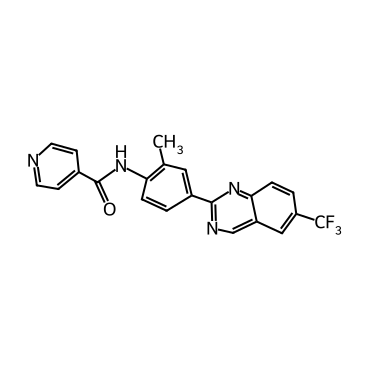 Cc1cc(-c2ncc3cc(C(F)(F)F)ccc3n2)ccc1NC(=O)c1ccncc1